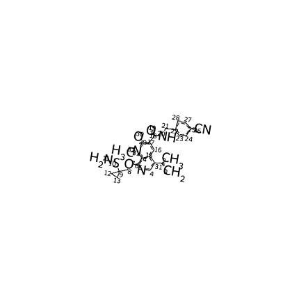 C=C(C)c1cnc(OCC2(SN)CC2)c2c1cc(C(=O)NCc1ccc(C#N)cc1)c(=O)n2C